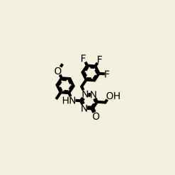 COc1ccc(Nc2nc(=O)c(CO)nn2Cc2cc(F)c(F)c(F)c2)c(C)c1